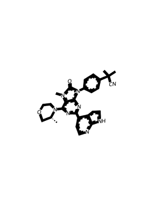 C[C@@H]1COCCN1c1nc(-c2ccnc3[nH]ccc23)nc2c1n(C)c(=O)n2-c1ccc(C(C)(C)C#N)cc1